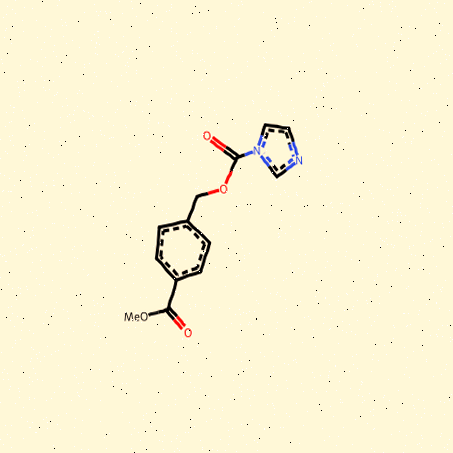 COC(=O)c1ccc(COC(=O)n2ccnc2)cc1